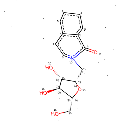 O=c1c2ccccc2ccn1C[C@@H]1O[C@H](CO)[C@@H](O)[C@@H]1O